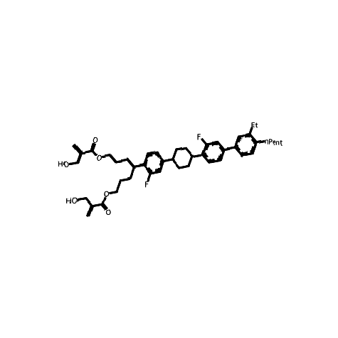 C=C(CO)C(=O)OCCCC(CCCOC(=O)C(=C)CO)c1ccc(C2CCC(c3ccc(-c4ccc(CCCCC)c(CC)c4)cc3F)CC2)cc1F